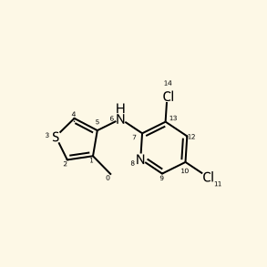 Cc1cs[c]c1Nc1ncc(Cl)cc1Cl